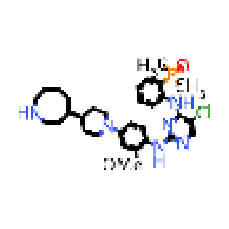 COc1cc(N2CCC(C3CCCCNCC3)CC2)ccc1Nc1ncc(Cl)c(Nc2ccccc2P(C)(C)=O)n1